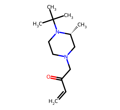 C=CC(=O)CN1CCN(C(C)(C)C)[C@H](C)C1